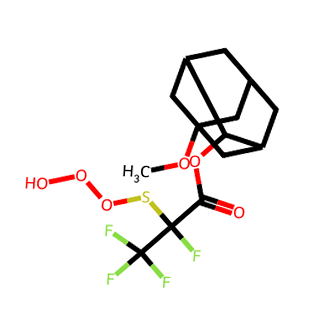 COC12CC3CC(C1)C(OC(=O)C(F)(SOOO)C(F)(F)F)C(C3)C2